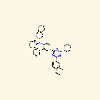 c1ccc(-c2nc(-c3ccc(-n4c5ccccc5c5cc6ccccc6cc54)c(-c4ccccc4)c3)nc(-c3ccc4ccccc4c3)n2)cc1